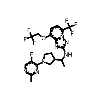 Cc1ncc(F)c(N2CCC(C(C)Nc3nc4c(OCC(F)(F)F)ccc(C(F)(F)F)n4n3)C2)n1